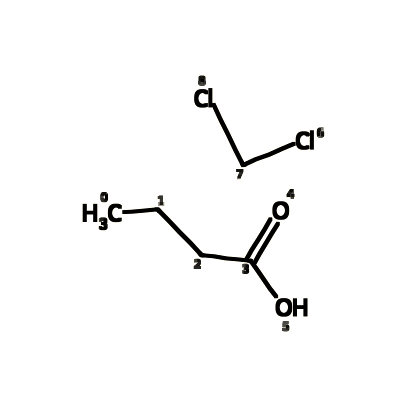 CCCC(=O)O.ClCCl